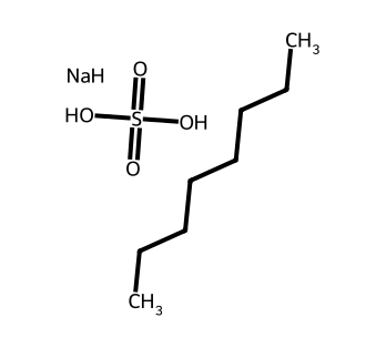 CCCCCCCC.O=S(=O)(O)O.[NaH]